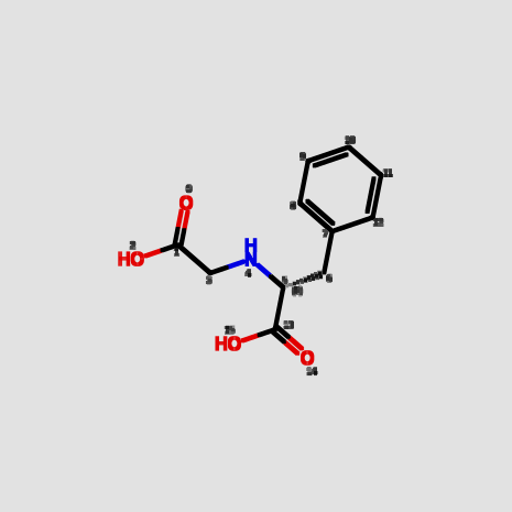 O=C(O)CN[C@H](Cc1ccccc1)C(=O)O